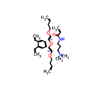 C=CC(=O)NCCCN(C)C.C=CCCO/C=C/O/C=C/OCCC=C.C=Cc1ccccc1C=C